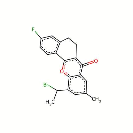 Cc1cc(C(C)Br)c2oc3c(c(=O)c2c1)CCc1cc(F)ccc1-3